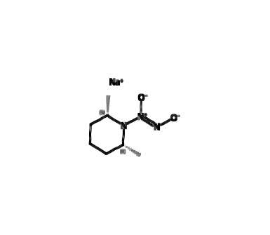 C[C@@H]1CCC[C@H](C)N1[N+]([O-])=N[O-].[Na+]